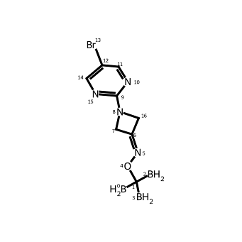 BC(B)(B)ON=C1CN(c2ncc(Br)cn2)C1